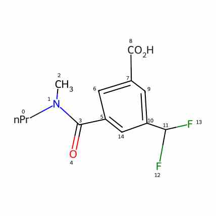 CCCN(C)C(=O)c1cc(C(=O)O)cc(C(F)F)c1